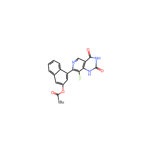 CC(C)(C)C(=O)Oc1cc(-c2ncc3c(=O)[nH]c(=O)[nH]c3c2F)c2ccccc2c1